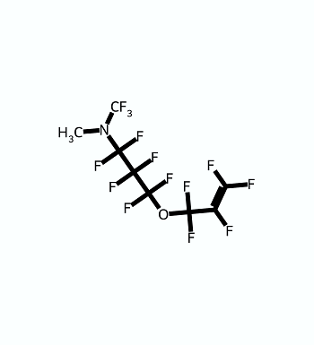 CN(C(F)(F)F)C(F)(F)C(F)(F)C(F)(F)OC(F)(F)C(F)=C(F)F